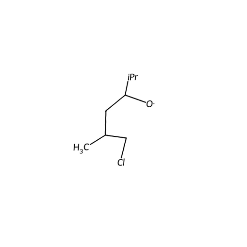 CC(CCl)CC([O])C(C)C